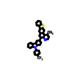 Cc1ccnc2c(-c3ccc4c(c3)c3ccccc3n4-c3ccc(C(F)(F)F)cc3)cc3cc4c(cc3c12)sc1ccccc14